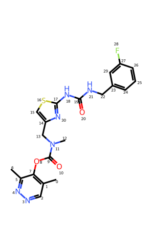 Cc1cnnc(C)c1OC(=O)N(C)Cc1csc(NC(=O)NCc2cccc(F)c2)n1